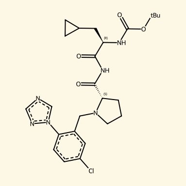 CC(C)(C)OC(=O)N[C@H](CC1CC1)C(=O)NC(=O)[C@@H]1CCCN1Cc1cc(Cl)ccc1-n1cncn1